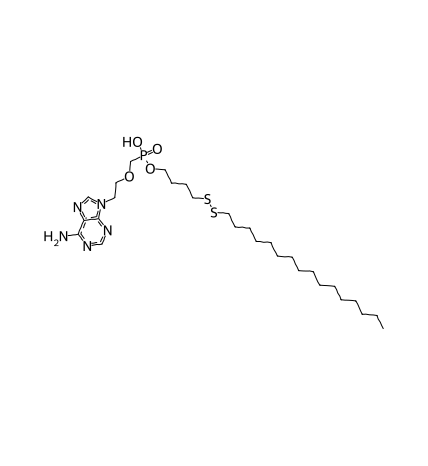 CCCCCCCCCCCCCCCCSSCCCCOP(=O)(O)COCCn1cnc2c(N)ncnc21